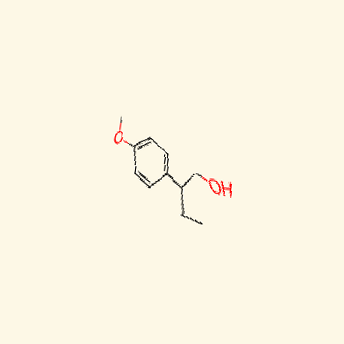 CCC(CO)c1ccc(OC)cc1